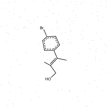 C/C(CO)=C(/C)c1ccc(Br)cc1